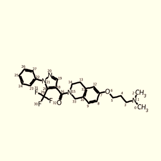 CN(C)CCCOc1ccc2c(c1)CCN(C(=O)c1cnn(-c3ccccc3)c1C(F)(F)F)C2